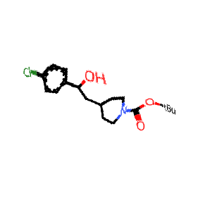 CC(C)(C)OC(=O)N1CCC(CC(O)c2ccc(Cl)cc2)CC1